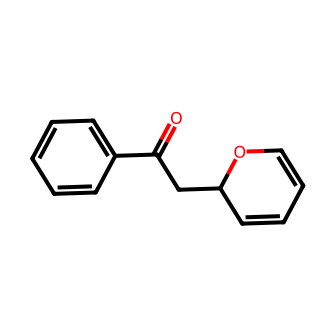 O=C(CC1C=CC=CO1)c1ccccc1